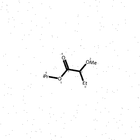 CCC(OC)C(=O)OC(C)C